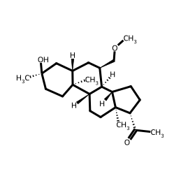 COC[C@@H]1C[C@H]2C[C@](C)(O)CC[C@]2(C)[C@H]2CC[C@]3(C)[C@@H](C(C)=O)CC[C@H]3[C@H]12